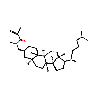 C=C(C)C(=O)N(C)C[C@H]1CC[C@@]2(C)[C@@H](CC[C@@H]3[C@@H]2CC[C@]2(C)[C@@H]([C@H](C)CCCC(C)C)CC[C@@H]32)C1